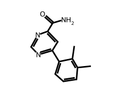 Cc1cccc(-c2cc(C(N)=O)ncn2)c1C